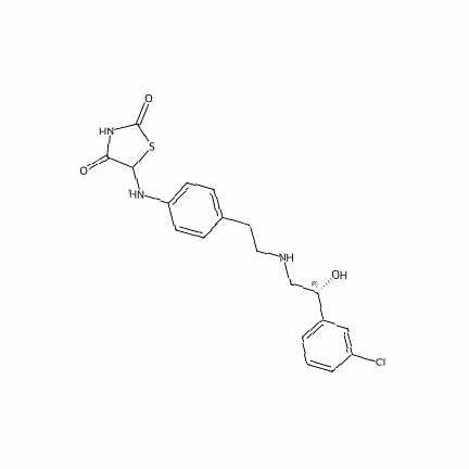 O=C1NC(=O)C(Nc2ccc(CCNC[C@H](O)c3cccc(Cl)c3)cc2)S1